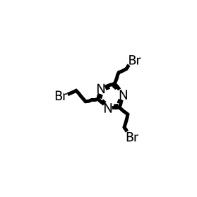 BrCCc1nc(CCBr)nc(CCBr)n1